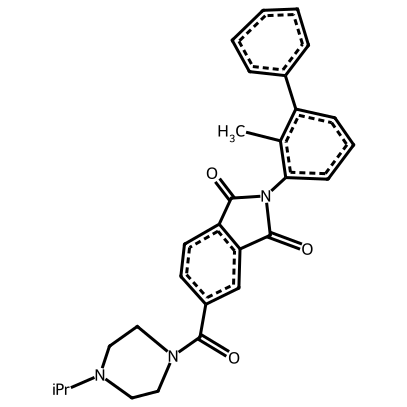 Cc1c(-c2ccccc2)cccc1N1C(=O)c2ccc(C(=O)N3CCN(C(C)C)CC3)cc2C1=O